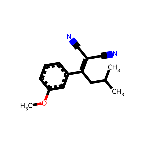 COc1cccc(C(CC(C)C)=C(C#N)C#N)c1